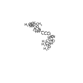 COC(=O)NC(C(=O)N1CCCC1c1ncc(-c2ccc3cc4cc(-c5cnc(C6CCCN6C(=O)C(NC(=O)OC)C(C)C)[nH]5)ccc4cc3c2)[nH]1)C(C)C